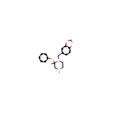 CC(=O)C1(Oc2ccccc2)CN(Cl)CCN1Cc1ccc2c(c1)OCO2.Cl